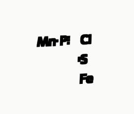 [C].[Fe].[Mn].[P].[S]